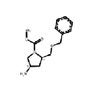 CC(C)(C)OC(=O)N1C[C@H](N)C[C@@H]1COCc1ccccc1